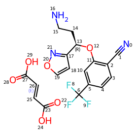 N#Cc1ccc(C(F)(F)F)cc1O[C@H](CCN)c1ccon1.O=C(O)/C=C/C(=O)O